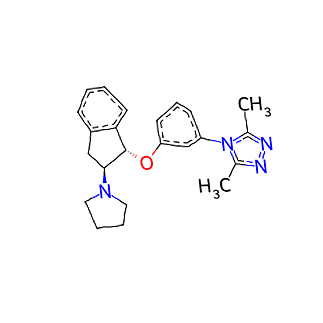 Cc1nnc(C)n1-c1cccc(O[C@H]2c3ccccc3C[C@@H]2N2CCCC2)c1